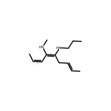 CC=CC/C(NCCC)=C(\C=C/C)NC